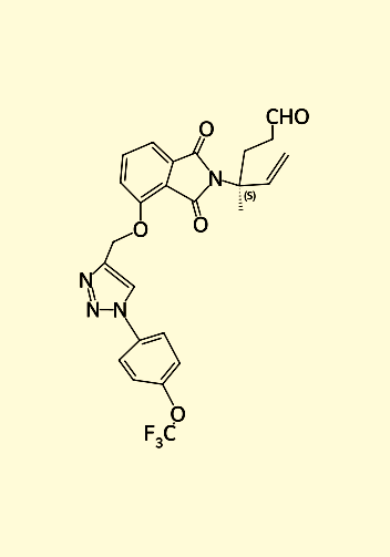 C=C[C@](C)(CCC=O)N1C(=O)c2cccc(OCc3cn(-c4ccc(OC(F)(F)F)cc4)nn3)c2C1=O